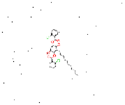 CCCCCCCCCCCC1=C(OC(=O)c2ccccc2Cl)C(=O)C=C(OC(=O)c2ccccc2Cl)C1=O